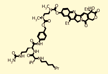 CCc1c2c(nc3ccc(OC(=O)N(C)CCN(C)C(=O)OCc4ccc(NC(=O)[C@H](CCCNC(N)=O)NC(=O)[C@@H](NCCCCC(C)C)C(C)C)cc4)cc13)-c1cc3c(c(=O)n1C2)COC(=O)[C@]3(O)CC